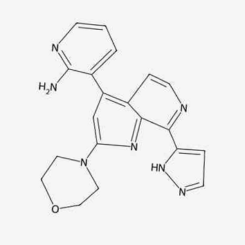 Nc1ncccc1-c1cc(N2CCOCC2)nc2c(-c3ccn[nH]3)nccc12